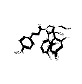 CC(C)(C)C[C@@H]1CN(C(=O)/C=C/c2ccc(C(=O)O)cc2)[C@H](c2cccc(Cl)c2F)[C@@]1(C#N)c1ccc(Cl)cc1F